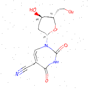 N#Cc1cn([C@@H]2C[C@@H](O)[C@H](CO)O2)c(=O)[nH]c1=O